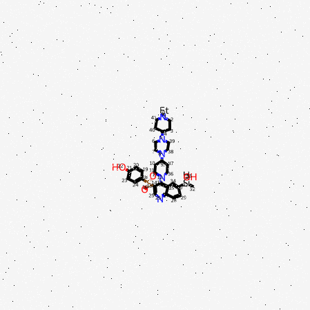 CCN1CCC(N2CCN(C3CCN(c4c(S(=O)(=O)c5ccc(O)cc5)cnc5ccc([SiH](C)O)cc45)CC3)CC2)CC1